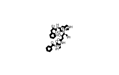 CCC(Cc1ccccc1)C(=O)N[C@@H](Cc1c[nH]cn1)C(=O)N[C@@H](CC(C)C)[C@@H](O)CC(=O)N[C@@H](CC(C)C)C(=O)NC(=O)c1ccccc1